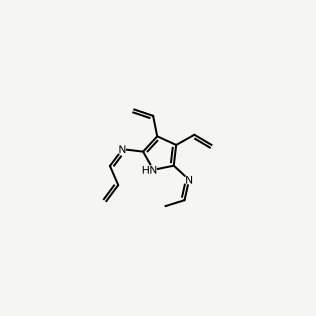 C=C/C=N\c1[nH]c(/N=C\C)c(C=C)c1C=C